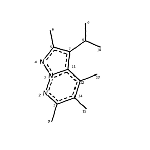 Cc1nn2nc(C)c(C(C)C)c2c(C)c1C